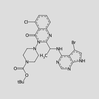 CC(Nc1ncnc2[nH]cc(Br)c12)c1nc2cccc(Cl)c2c(=O)n1N1CCN(C(=O)OC(C)(C)C)CC1